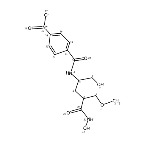 COCC(CC(CO)NC(=O)c1ccc([N+](=O)[O-])cc1)C(=O)NO